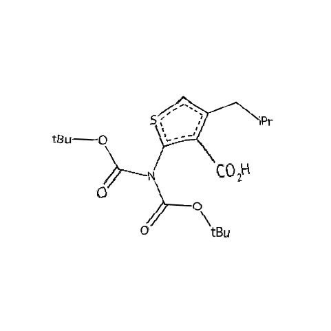 CC(C)Cc1csc(N(C(=O)OC(C)(C)C)C(=O)OC(C)(C)C)c1C(=O)O